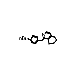 CCCCc1ccc(Cc2nccc3c2CCCC3)cc1